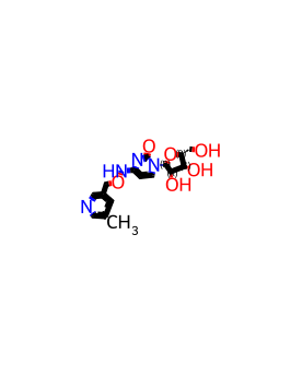 Cc1cncc(CONc2ccn([C@@H]3O[C@H](CO)[C@@H](O)[C@H]3O)c(=O)n2)c1